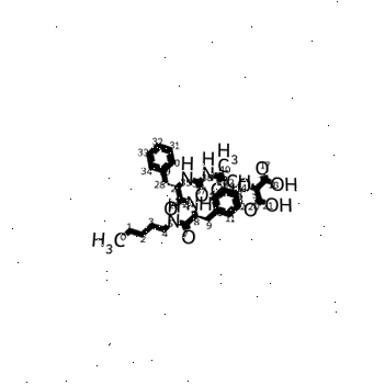 CCCCCNC(=O)[C@H](Cc1ccc(OC(C(=O)O)C(=O)O)cc1)NC(=O)[C@H](Cc1ccccc1)NC(=O)NC(C)(C)C